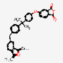 C=c1oc(=C)c2cc(Cc3ccc(C(C)(C)c4ccc(Oc5ccc6c(c5)C(=O)OC6=O)cc4)cc3)ccc12